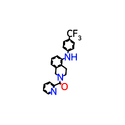 O=C(c1ccccn1)N1CCc2c(cccc2Nc2ccc(C(F)(F)F)cc2)C1